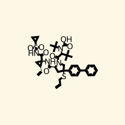 C=CCS[C@@]1(c2ccc(-c3ccccc3)cc2)C[C@@H](C(=O)N[C@]2(C(=O)NS(=O)(=O)C3CC3)C[C@H]2C=C)N(C(=O)[C@@H](N(C(=O)O)C(C)(C)C)C(C)(C)C)C1